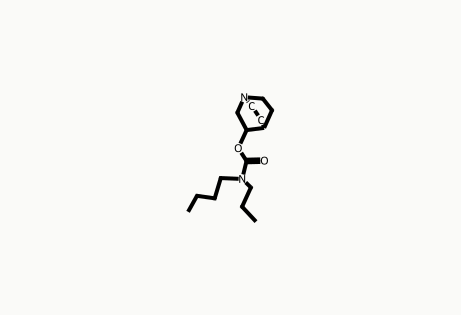 CCCCN(CCC)C(=O)OC1CN2CCC1CC2